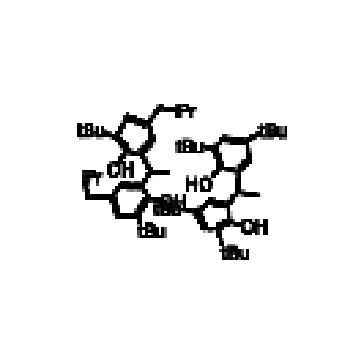 CC(C)Cc1cc(C(C)c2cc(CC(C)C)cc(C(C)(C)C)c2O)c(O)c(C(C)(C)C)c1.CC(c1cc(C(C)(C)C)cc(C(C)(C)C)c1O)c1cc(C(C)(C)C)cc(C(C)(C)C)c1O